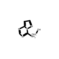 Nc1ncnc2ccnn12.O=CO